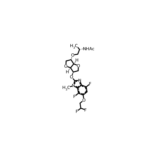 CC(=O)N[C@@H](C)CO[C@H]1CO[C@H]2[C@@H]1OC[C@H]2Oc1nc2c(F)cc(OCC(F)F)c(F)c2n1C